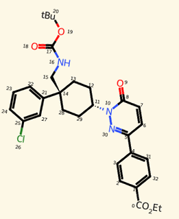 CCOC(=O)c1ccc(-c2ccc(=O)n([C@H]3CC[C@@](CNC(=O)OC(C)(C)C)(c4cccc(Cl)c4)CC3)n2)cc1